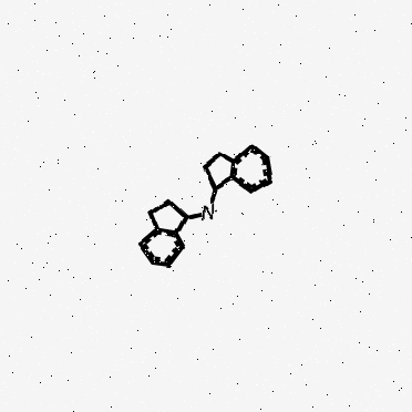 c1ccc2c(c1)CCC2[N]C1CCc2ccccc21